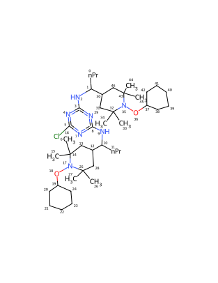 CCCC(Nc1nc(Cl)nc(NC(CCC)C2CC(C)(C)N(OC3CCCCC3)C(C)(C)C2)n1)C1CC(C)(C)N(OC2CCCCC2)C(C)(C)C1